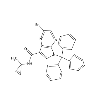 CC1(NC(=O)c2cn(C(c3ccccc3)(c3ccccc3)c3ccccc3)c3ncc(Br)nc23)C=C1